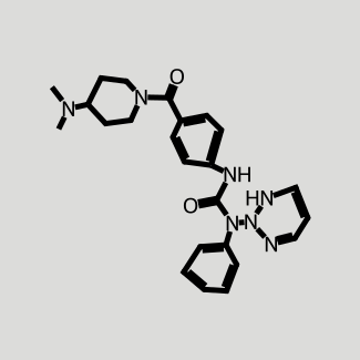 CN(C)C1CCN(C(=O)c2ccc(NC(=O)N(c3ccccc3)N3N=CC=CN3)cc2)CC1